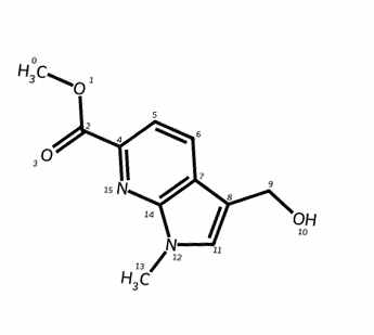 COC(=O)c1ccc2c(CO)cn(C)c2n1